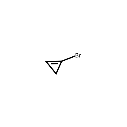 BrC1=CC1